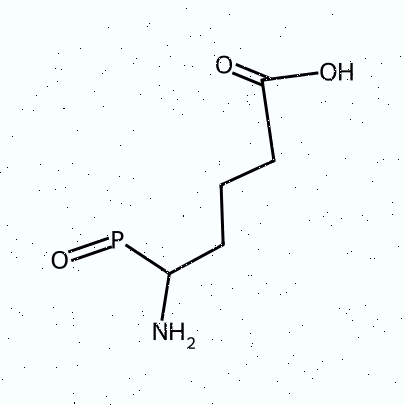 NC(CCCC(=O)O)P=O